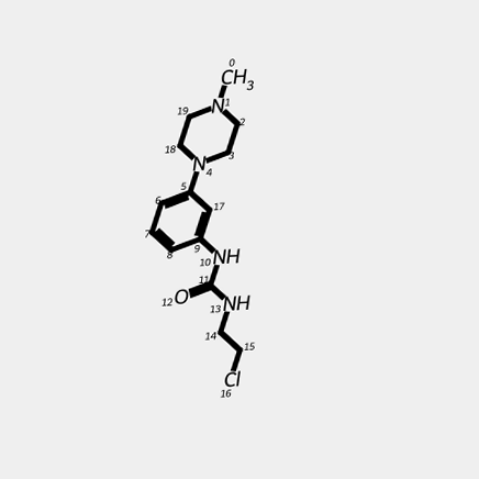 CN1CCN(c2cccc(NC(=O)NCCCl)c2)CC1